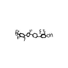 CCOc1ccc(-c2ccc(C3=CCC(c4ccc(O)c(F)c4F)CC3)c(F)c2)c(F)c1F